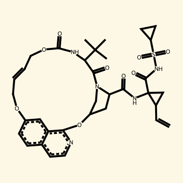 C=CC1CC1(NC(=O)C1CC2CN1C(=O)C(C(C)(C)C)NC(=O)OC/C=C/COc1ccc3ccnc(c3c1)O2)C(=O)NS(=O)(=O)C1CC1